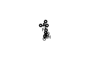 O=C1CCC(N2Cc3c(ccc(C[C@H]4CCCC[C@@H]4N(Cc4ccccc4)Cc4ccccc4)c3F)C2=O)C(=O)N1